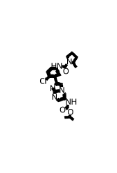 CC(C)OC(=O)Nc1cnc2nc(-c3cc(NC(=O)N4CCCC4C)ccc3Cl)cn2c1